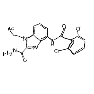 CC(=O)Cn1c(C(N)=O)nc2c(NC(=O)c3c(Cl)cccc3Cl)cccc21